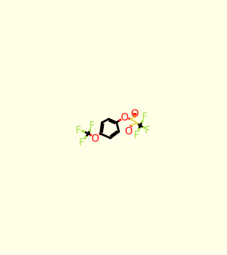 O=S(=O)(Oc1ccc(OC(F)(F)F)cc1)C(F)(F)F